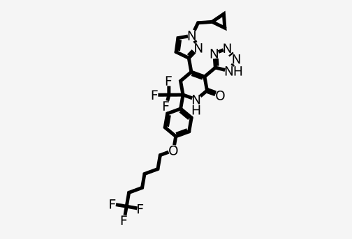 O=C1NC(c2ccc(OCCCCCC(F)(F)F)cc2)(C(F)(F)F)CC(c2ccn(CC3CC3)n2)=C1c1nnn[nH]1